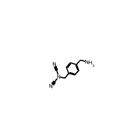 N#CN(C#N)Cc1ccc(CN)cc1